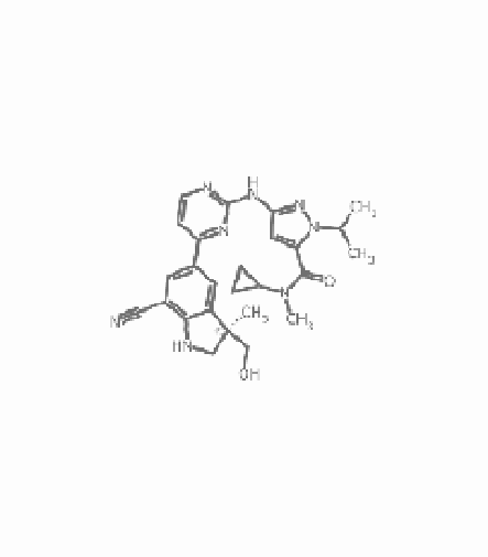 CC(C)n1nc(Nc2nccc(-c3cc(C#N)c4c(c3)[C@@](C)(CO)CN4)n2)cc1C(=O)N(C)C1CC1